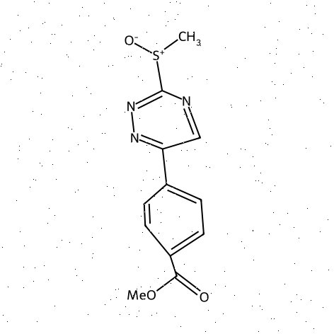 COC(=O)c1ccc(-c2cnc([S+](C)[O-])nn2)cc1